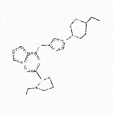 OCC1CCC(n2cnc(Nc3nc(N4CCCC4CO)nn4cccc34)c2)CC1